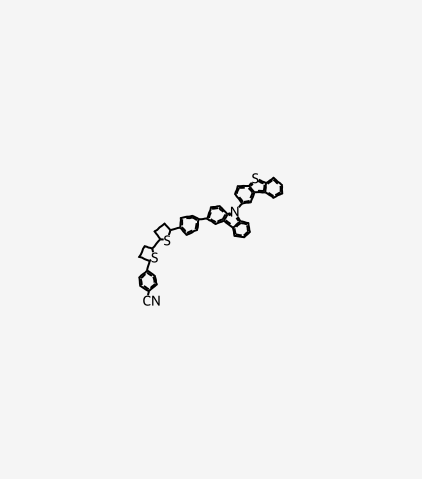 N#Cc1ccc(C2CCC(C3CCC(c4ccc(-c5ccc6c(c5)c5ccccc5n6-c5ccc6sc7ccccc7c6c5)cc4)S3)S2)cc1